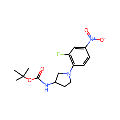 CC(C)(C)OC(=O)NC1CCN(c2ccc([N+](=O)[O-])cc2F)C1